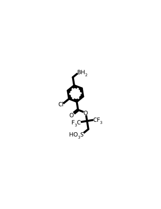 BCc1ccc(C(=O)OC(CS(=O)(=O)O)(C(F)(F)F)C(F)(F)F)c(Cl)c1